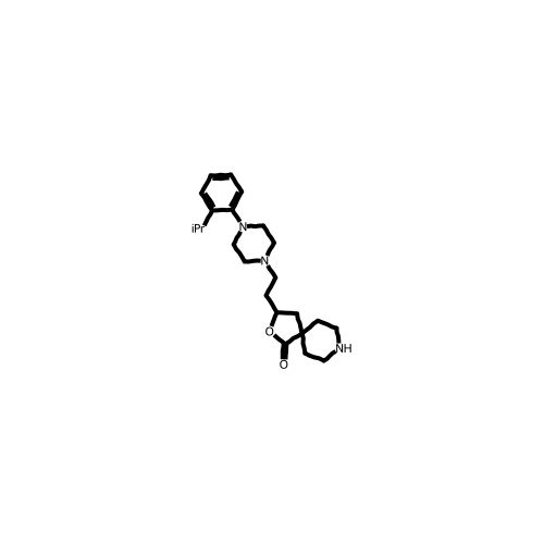 CC(C)c1ccccc1N1CCN(CCC2CC3(CCNCC3)C(=O)O2)CC1